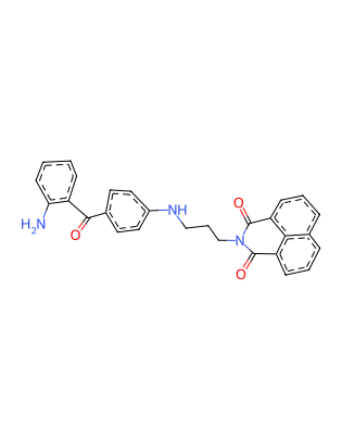 Nc1ccccc1C(=O)c1ccc(NCCCN2C(=O)c3cccc4cccc(c34)C2=O)cc1